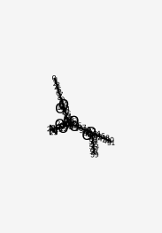 CCCCCCCCCCCOC(=O)CCCCCN1CC(OC(=O)CCN(C)C)C[C@H]1C(=O)OCCCCCC(=O)OC(CCCCCCCC)CCCCCCCC